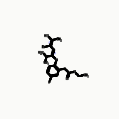 CCOC(=O)Cc1cc(F)ccc1O/C(=C/C(Br)=C(\C)O)C(C)C